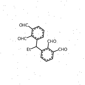 CCC(c1cccc(C=O)c1C=O)c1cccc(C=O)c1C=O